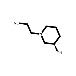 N#CCCN1CCC[C@@H](O)C1